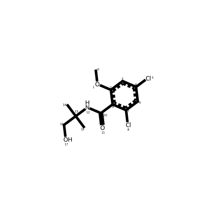 COc1cc(Cl)cc(Cl)c1C(=O)NC(C)(C)CO